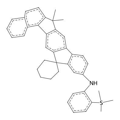 CC1(C)c2cc3c(cc2-c2c1ccc1ccccc21)C1(CCCCC1)c1cc(Nc2ccccc2S(C)(C)C)ccc1-3